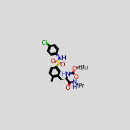 Cc1ccc(S(=O)(=O)Nc2ccc(Cl)cc2)cc1C[C@H](NC(=O)OC(C)(C)C)C(=O)NC(C)C